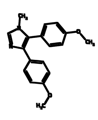 COc1ccc(-c2ncn(C)c2-c2ccc(OC)cc2)cc1